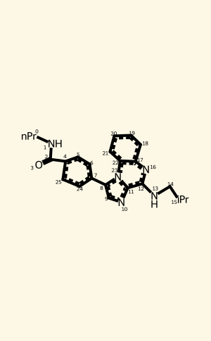 CCCNC(=O)c1ccc(-c2cnc3c(NCC(C)C)nc4ccccc4n23)cc1